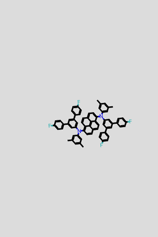 Cc1cc(C)cc(N(c2cc(-c3ccc(F)cc3)cc(-c3ccc(F)cc3)c2)c2ccc3ccc4c(N(c5cc(C)cc(C)c5)c5cc(-c6ccc(F)cc6)cc(-c6ccc(F)cc6)c5)ccc5ccc2c3c54)c1